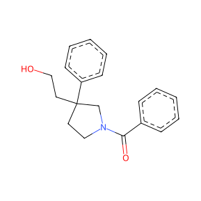 O=C(c1ccccc1)N1CCC(CCO)(c2ccccc2)C1